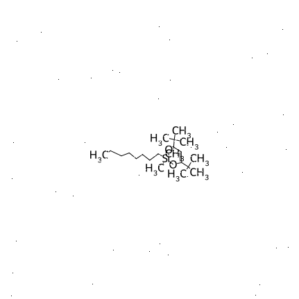 CCCCCCCC[Si](C)(C)O/C(=C\C(=O)C(C)(C)C)C(C)(C)C